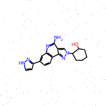 Nc1nc2cc(-c3cc[nH]n3)ccc2c2nn(C3CCCCC3O)cc12